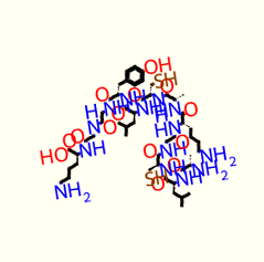 CC(C)C[C@H](NC(=O)[C@H](C)N)C(=O)N[C@@H](CS)C(=O)NCC(=O)N[C@@H](CCCCN)C(=O)N[C@@H](C)C(=O)N[C@@H](CS)C(=O)N[C@@H](CC(C)C)C(=O)N[C@@H](Cc1ccc(O)cc1)C(=O)NCC(=O)NCC(=O)N[C@@H](CCCCN)C(=O)O